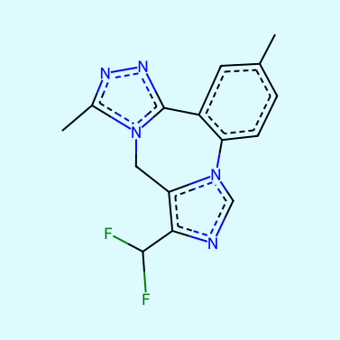 Cc1ccc2c(c1)-c1nnc(C)n1Cc1c(C(F)F)ncn1-2